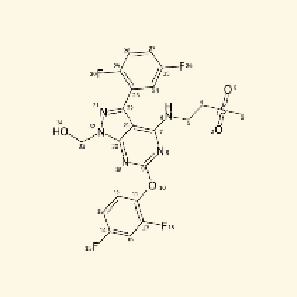 CS(=O)(=O)CCNc1nc(Oc2ccc(F)cc2F)nc2c1c(-c1cc(F)ccc1F)nn2CO